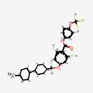 CC1CCC(C2CCC(C(F)(F)Oc3cc(F)c(C(=O)Oc4ccc(OC(F)(F)F)cc4)c(F)c3)CC2)CC1